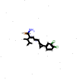 CC(C)C(C)/C(=C\C=C\C1CC1c1ccc(Cl)c(Cl)c1)C(N)=S